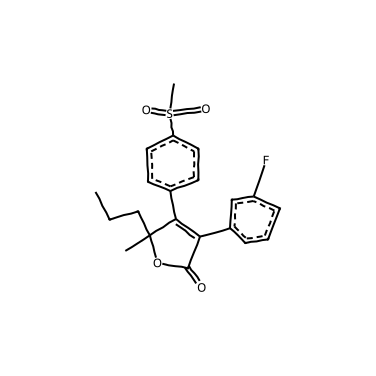 CCCC1(C)OC(=O)C(c2cccc(F)c2)=C1c1ccc(S(C)(=O)=O)cc1